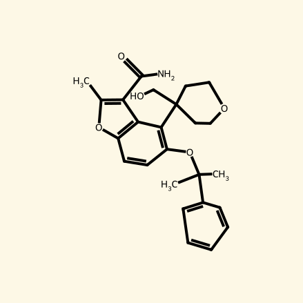 Cc1oc2ccc(OC(C)(C)c3ccccc3)c(C3(CO)CCOCC3)c2c1C(N)=O